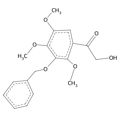 COc1cc(C(=O)CO)c(OC)c(OCc2ccccc2)c1OC